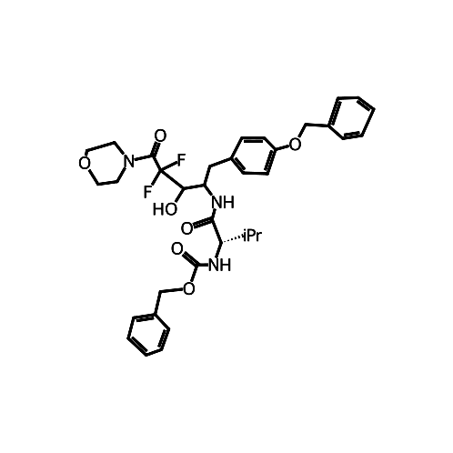 CC(C)[C@H](NC(=O)OCc1ccccc1)C(=O)NC(Cc1ccc(OCc2ccccc2)cc1)C(O)C(F)(F)C(=O)N1CCOCC1